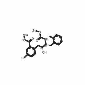 CC(C)(C)NC(=O)c1cc(Cl)ccc1C[C@@H](O)[C@@H](Cc1ccccc1F)NC(=O)OC(C)(C)C